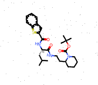 CC(C)C[C@H](NC(=O)c1cc2ccccc2s1)C(=O)NCCC1CCCCN1C(=O)OC(C)(C)C